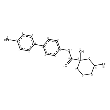 CCCc1ccc(-c2ccc(OC(=O)C3(C#N)CCCC(CC)C3)cc2)cc1